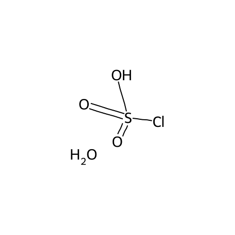 O.O=S(=O)(O)Cl